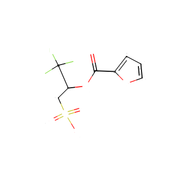 O=C(OC(CS(=O)(=O)O)C(F)(F)F)c1ccco1